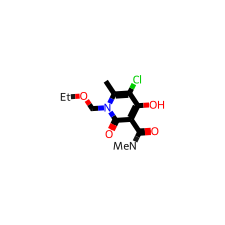 CCOCn1c(C)c(Cl)c(O)c(C(=O)NC)c1=O